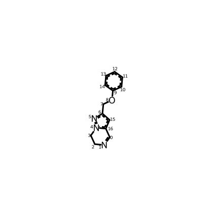 C1=NCCn2nc(COc3ccccc3)cc21